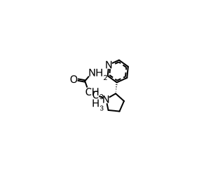 CC(N)=O.CN1CCC[C@H]1c1cccnc1